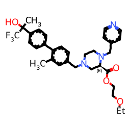 CCOCCOC(=O)[C@H]1CN(Cc2ccc(-c3ccc(C(C)(O)C(F)(F)F)cc3)c(C)c2)CCN1Cc1ccncc1